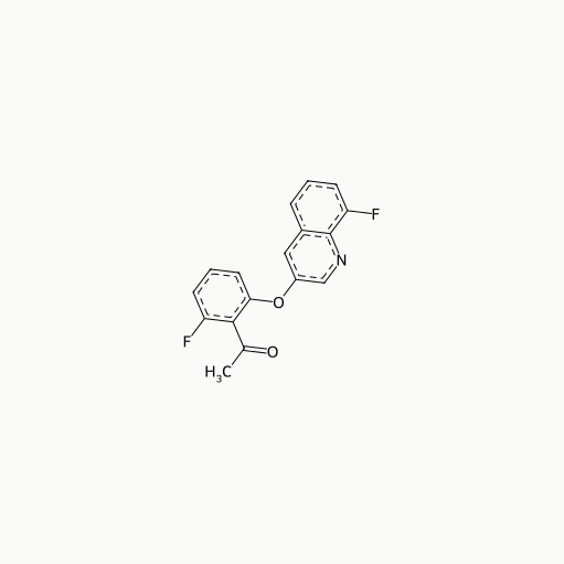 CC(=O)c1c(F)cccc1Oc1cnc2c(F)cccc2c1